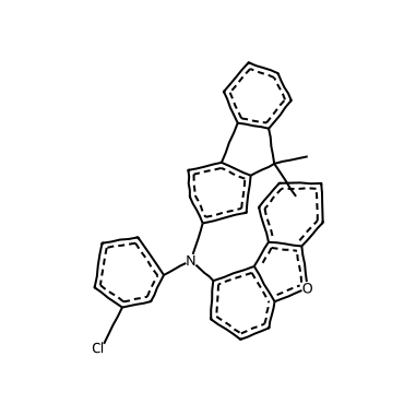 CC1(C)c2ccccc2-c2ccc(N(c3cccc(Cl)c3)c3cccc4oc5ccccc5c34)cc21